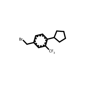 FC(F)(F)c1cc(CBr)ccc1C1CCCC1